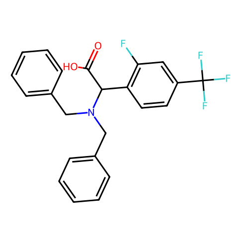 O=C(O)C(c1ccc(C(F)(F)F)cc1F)N(Cc1ccccc1)Cc1ccccc1